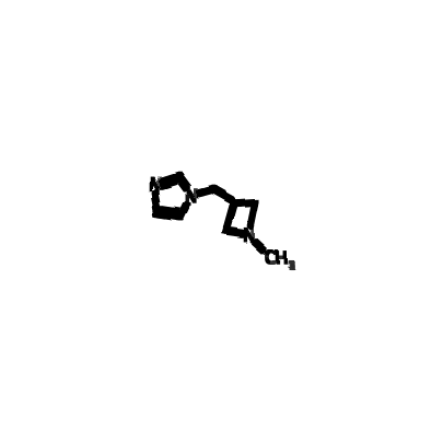 CN1CC(Cn2ccnc2)C1